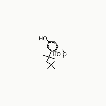 CC(C)(C)CC(C)(C)c1cc(O)ccc1O.COC